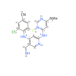 CNc1cc(Nc2cc(Nc3c(F)cc(C#N)cc3Cl)c(C=N)cn2)ncn1